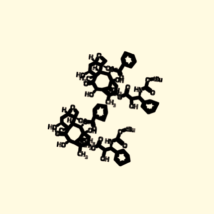 CC(=O)O[C@@]12CO[C@@H]1C[C@H](O)[C@@]1(C)C(=O)[C@H](O)C3=C(C)[C@@H](OC(=O)C(O)[C@@H](NC(=O)OC(C)(C)C)c4ccccc4)C[C@@](O)([C@@H](OC(=O)c4ccccc4)[C@H]21)C3(C)C.CC(=O)O[C@@]12CO[C@@H]1C[C@H](O)[C@@]1(C)C(=O)[C@H](O)C3=C(C)[C@@H](OC(=O)C(O)[C@@H](NC(=O)OC(C)(C)C)c4ccccc4)C[C@@](O)([C@@H](OC(=O)c4ccccc4)[C@H]21)C3(C)C